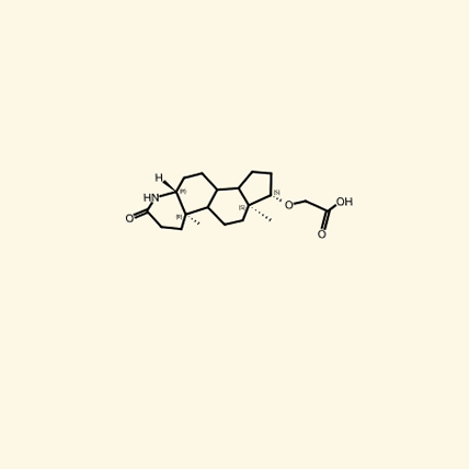 C[C@]12CCC3C(CC[C@H]4NC(=O)CC[C@]34C)C1CC[C@@H]2OCC(=O)O